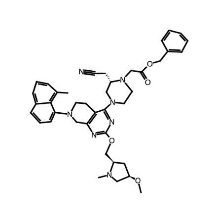 CO[C@@H]1C[C@H](COc2nc3c(c(N4CCN(CC(=O)OCc5ccccc5)[C@@H](CC#N)C4)n2)CCN(c2cccc4cccc(C)c24)C3)N(C)C1